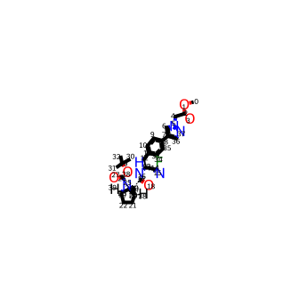 COC(=O)Cn1cc(-c2ccc(C[C@@H](C#N)NC(=O)[C@@H]3[C@H]4CC[C@H](C4)N3C(=O)OC(C)(C)C)c(F)c2)cn1